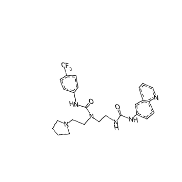 O=C(NCCN(CCN1CCCC1)C(=O)Nc1ccc(C(F)(F)F)cc1)Nc1ccc2ncccc2c1